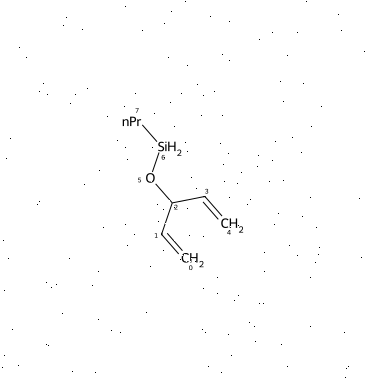 C=CC(C=C)O[SiH2]CCC